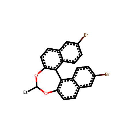 CCC1Oc2ccc3cc(Br)ccc3c2-c2c(ccc3cc(Br)ccc23)O1